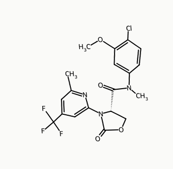 COc1cc(N(C)C(=O)[C@@H]2COC(=O)N2c2cc(C(F)(F)F)cc(C)n2)ccc1Cl